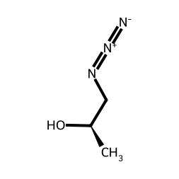 C[C@@H](O)CN=[N+]=[N-]